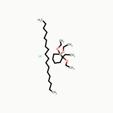 CCCCCCCCCCCCCCCCCC.CCOC1(CC)CCCC[Si]1(OCC)OCC.F